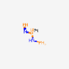 P=NPNP.[Pt]